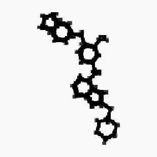 Cc1cc(Nc2ncnc3cc(CN4CCOCC4)sc23)ccc1Oc1ccc2scnc2c1